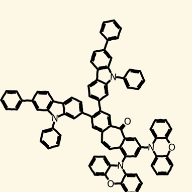 O=c1c2cc(-c3ccc4c5ccc(-c6ccccc6)cc5n(-c5ccccc5)c4c3)c(-c3ccc4c5ccc(-c6ccccc6)cc5n(-c5ccccc5)c4c3)cc2ccc2c(N3c4ccccc4Oc4ccccc43)cc(N3c4ccccc4Oc4ccccc43)cc12